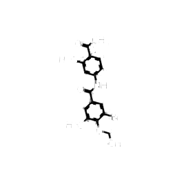 CCOc1c(C)cc(C(=O)Nc2ccc(C(C)=O)c(C)c2)cc1Br